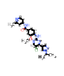 COc1cc(C(=O)Nc2ccnc(C)c2)ccc1Nc1ncc(Cl)c(-c2cnn(C(C)C)c2)n1